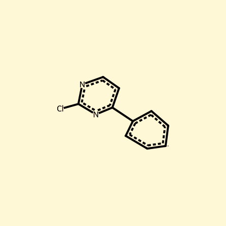 Clc1nccc(-c2cc[c]cc2)n1